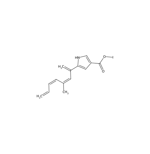 C=C/C=C\C(C)=C/C(=C)c1cc(C(=O)OI)c[nH]1